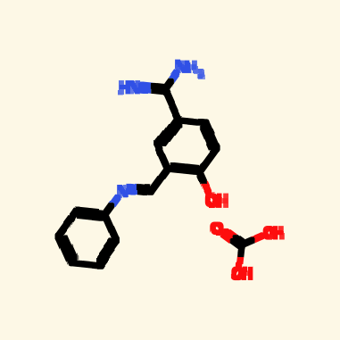 N=C(N)c1ccc(O)c(C=Nc2ccccc2)c1.O=C(O)O